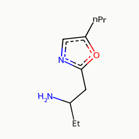 CCCc1cnc(CC(N)CC)o1